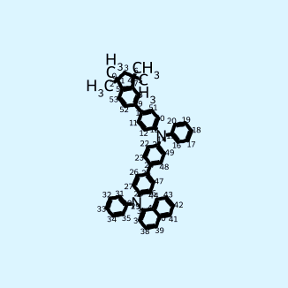 CC1(C)CC(C)(C)c2cc(-c3ccc(N(c4ccccc4)c4ccc(-c5ccc(N(c6ccccc6)c6cccc7ccccc67)cc5)cc4)cc3)ccc21